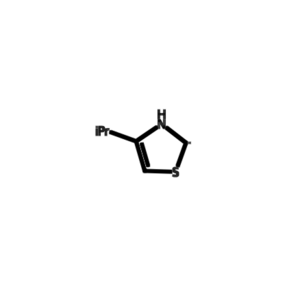 CC(C)C1=CS[CH]N1